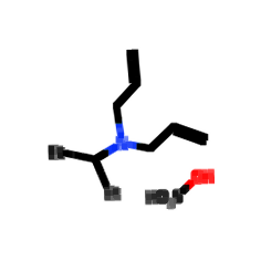 C=CCN(CC=C)C(CC)CC.O=S(=O)(O)O